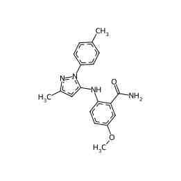 COc1ccc(Nc2cc(C)nn2-c2ccc(C)cc2)c(C(N)=O)c1